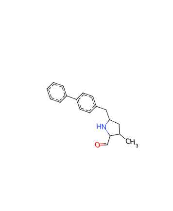 CC1CC(Cc2ccc(-c3ccccc3)cc2)NC1C=O